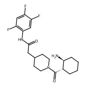 N[C@H]1CCCC[C@@H]1C(=O)N1CCC(CC(=O)Nc2cc(F)c(F)cc2F)CC1